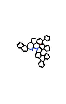 CCC1Cc2c(ccc3ccccc23)N=C(n2c3ccc4ccccc4c3c3c4c5ccccc5c5ccccc5c4ccc32)C1c1ccc(-c2ccccc2)cc1